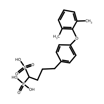 Cc1cccc(C)c1Oc1ccc(CCCC(P(=O)(O)O)S(=O)(=O)O)cc1